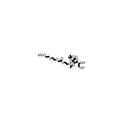 COCCOCCOCC(=O)OCCOC(C)O[C@@H]1[C@H]2OC(C)(C)O[C@H]2O[C@@H]1C(O)CO